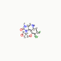 Cn1c(=O)n2c3c4c(c(Br)c(F)cc4ncc31)OCC21COC1